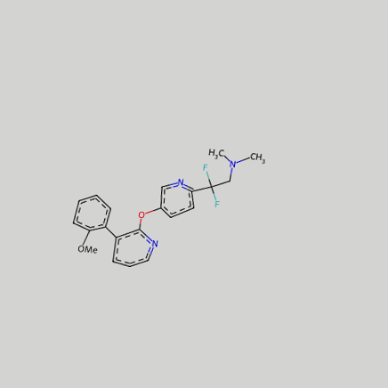 COc1ccccc1-c1cccnc1Oc1ccc(C(F)(F)CN(C)C)nc1